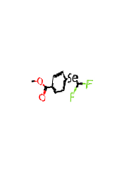 COC(=O)c1ccc([Se]C(F)F)cc1